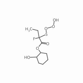 CCC(F)(SOOO)C(=O)OC1CCCCC1O